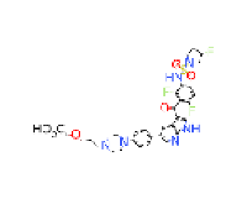 O=C(O)COCCCN1CCN(c2ccc(-c3cnc4[nH]cc(C(=O)c5c(F)ccc(NS(=O)(=O)N6CC[C@@H](F)C6)c5F)c4c3)cc2)CC1